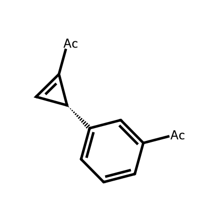 CC(=O)C1=C[C@H]1c1cccc(C(C)=O)c1